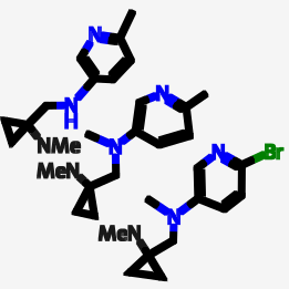 CNC1(CN(C)c2ccc(Br)nc2)CC1.CNC1(CN(C)c2ccc(C)nc2)CC1.CNC1(CNc2ccc(C)nc2)CC1